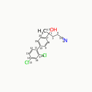 CC(O)(CCC#N)c1ccc(-c2ccc(Cl)cc2Cl)cc1